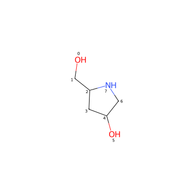 OCC1CC(O)CN1